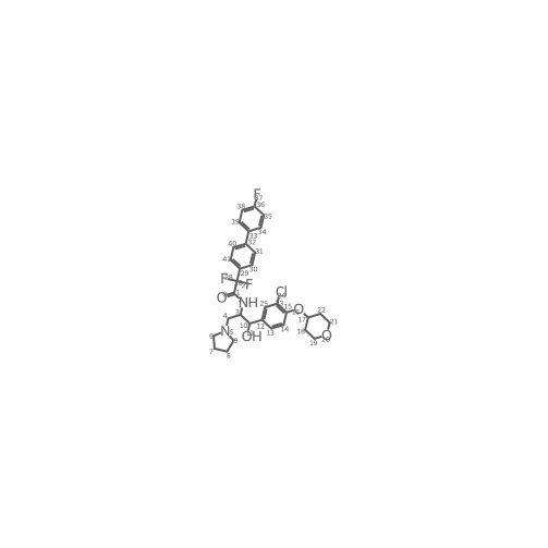 O=C(NC(CN1CCCC1)C(O)c1ccc(OC2CCOCC2)c(Cl)c1)C(F)(F)c1ccc(-c2ccc(F)cc2)cc1